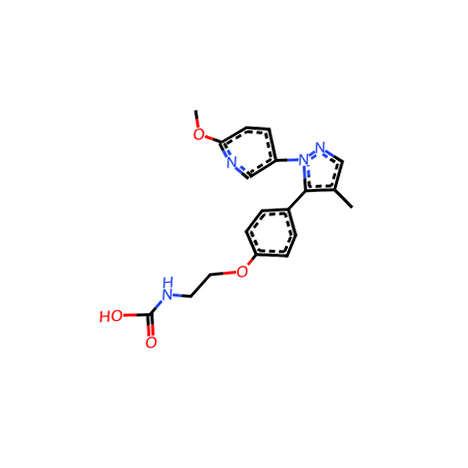 COc1ccc(-n2ncc(C)c2-c2ccc(OCCNC(=O)O)cc2)cn1